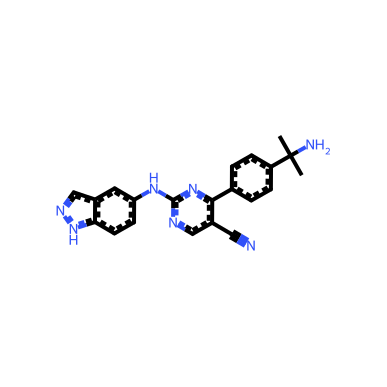 CC(C)(N)c1ccc(-c2nc(Nc3ccc4[nH]ncc4c3)ncc2C#N)cc1